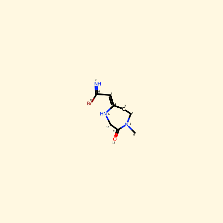 CN1CC/C(=C/C(=N)Br)NCC1=O